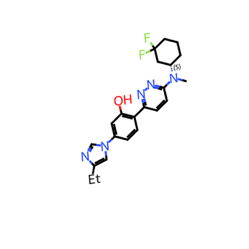 CCc1cn(-c2ccc(-c3ccc(N(C)[C@H]4CCCC(F)(F)C4)nn3)c(O)c2)cn1